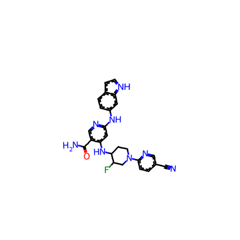 N#Cc1ccc(N2CCC(Nc3cc(Nc4ccc5cc[nH]c5c4)ncc3C(N)=O)C(F)C2)nc1